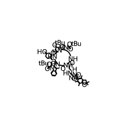 Cc1c(C)c(S(=O)(=O)NC(=N)NCCC[C@@H]2NC(=O)[C@H](Cc3cn(C(=O)OC(C)(C)C)c4ccccc34)NC(=O)[C@@H](CC3CCC(O)CC3)NC(=O)[C@@H]3C[C@@H](OC(C)(C)C)CN3C(=O)[C@@H](NC(=O)OC(C)(C)C)CCCNC2=O)c(C)c2c1OC(C)(C)C2